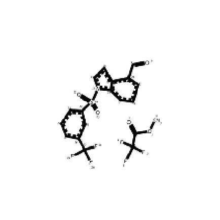 COC(=O)C(F)(F)F.O=Cc1cccc2c1ccn2S(=O)(=O)c1cccc(C(F)(F)F)c1